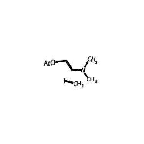 CC(=O)OCCN(C)C.CI